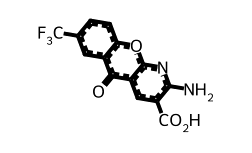 Nc1nc2oc3ccc(C(F)(F)F)cc3c(=O)c2cc1C(=O)O